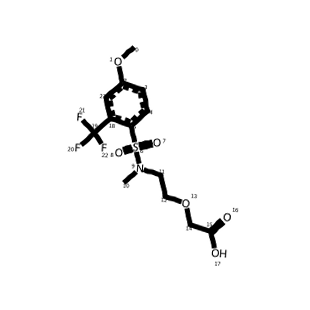 COc1ccc(S(=O)(=O)N(C)CCOCC(=O)O)c(C(F)(F)F)c1